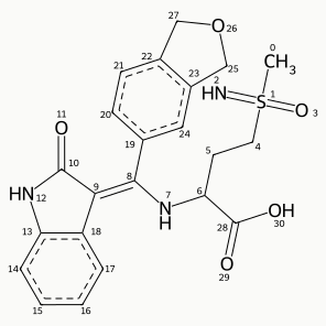 CS(=N)(=O)CCC(NC(=C1C(=O)Nc2ccccc21)c1ccc2c(c1)COC2)C(=O)O